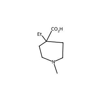 CCC1(C(=O)O)CCN(C)CC1